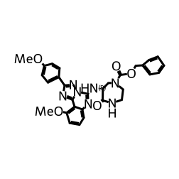 COc1ccc(-c2nc3c4c(OC)cccc4nc(N[C@@H]4CN(C(=O)OCc5ccccc5)CCNC4=O)n3n2)cc1